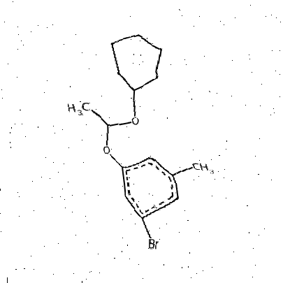 Cc1cc(Br)cc(OC(C)OC2CCCCC2)c1